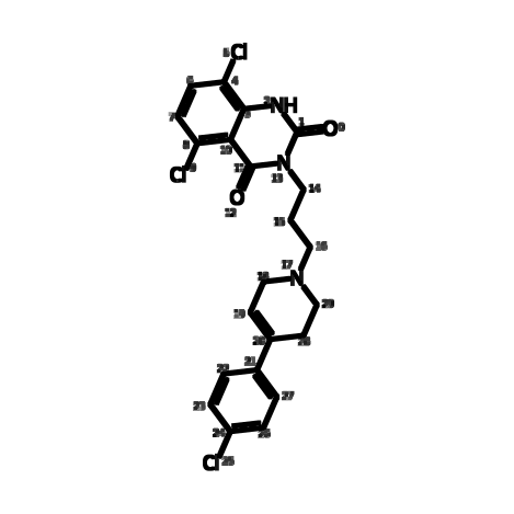 O=c1[nH]c2c(Cl)ccc(Cl)c2c(=O)n1CCCN1CC=C(c2ccc(Cl)cc2)CC1